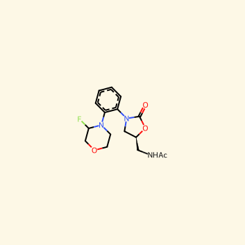 CC(=O)NC[C@H]1CN(c2ccccc2N2CCOCC2F)C(=O)O1